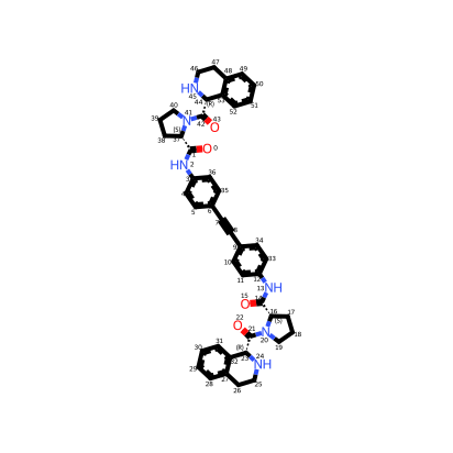 O=C(Nc1ccc(C#Cc2ccc(NC(=O)[C@@H]3CCCN3C(=O)[C@@H]3NCCc4ccccc43)cc2)cc1)[C@@H]1CCCN1C(=O)[C@@H]1NCCc2ccccc21